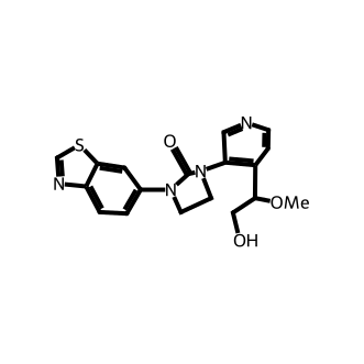 COC(CO)c1ccncc1N1CCN(c2ccc3ncsc3c2)C1=O